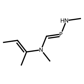 C/C=C(\C)N(C)C=PNC